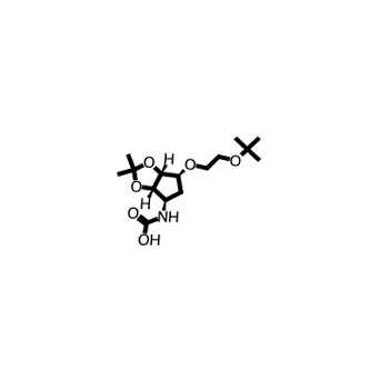 CC(C)(C)OCCO[C@H]1C[C@@H](NC(=O)O)[C@@H]2OC(C)(C)O[C@@H]21